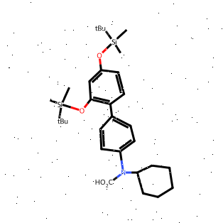 CC(C)(C)[Si](C)(C)Oc1ccc(-c2ccc(N(C(=O)O)C3CCCCC3)cc2)c(O[Si](C)(C)C(C)(C)C)c1